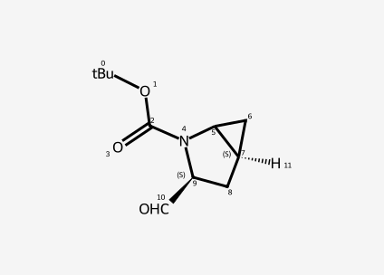 CC(C)(C)OC(=O)N1C2C[C@H]2C[C@H]1C=O